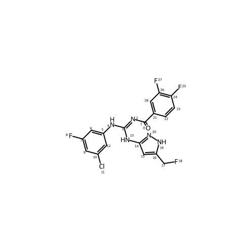 O=C(/N=C(/Nc1cc(F)cc(Cl)c1)Nc1cc(CF)[nH]n1)c1ccc(F)c(F)c1